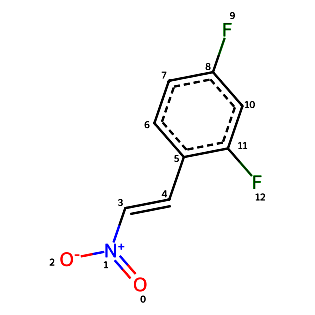 O=[N+]([O-])/C=C/c1ccc(F)cc1F